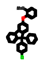 COc1ccccc1Oc1ccc2c(c1)-c1ccccc1C2(c1ccccc1)c1ccc(Cl)cc1